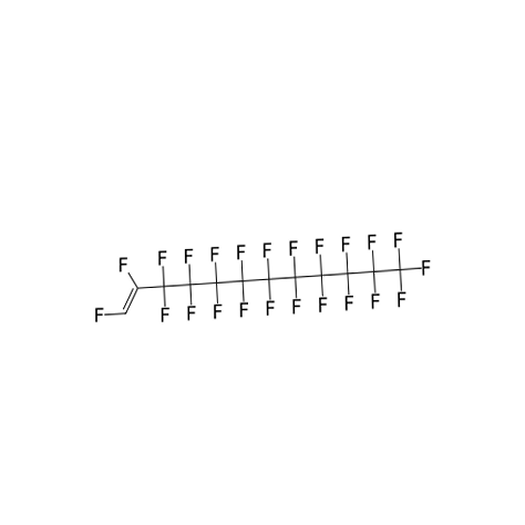 FC=C(F)C(F)(F)C(F)(F)C(F)(F)C(F)(F)C(F)(F)C(F)(F)C(F)(F)C(F)(F)C(F)(F)C(F)(F)F